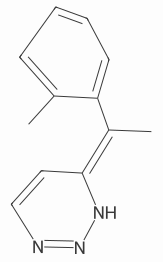 CC(=C1C=CN=NN1)c1ccccc1C